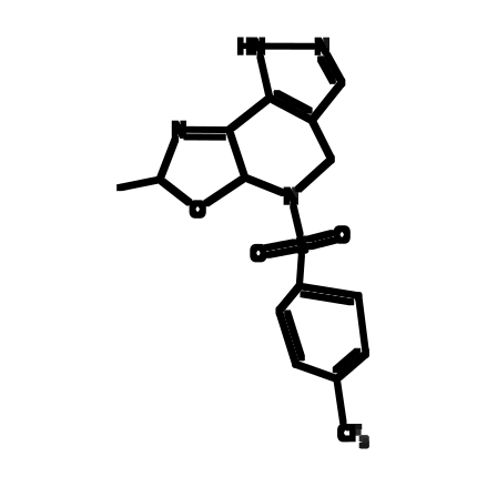 CC1N=C2c3[nH]ncc3CN(S(=O)(=O)c3ccc(C(F)(F)F)cc3)C2O1